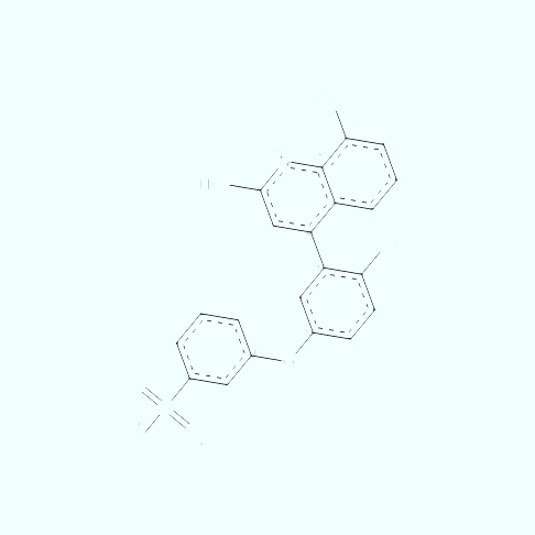 Cc1cc(-c2cc(Oc3cccc(S(=O)(=O)C(C)C)c3)ccc2F)c2cccc(C(F)(F)F)c2n1